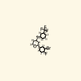 Fc1ccc(C2CC(Sc3cccc(C(F)(F)F)c3)CCO2)cc1Br